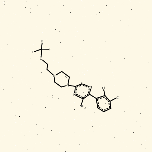 Nc1nc(N2CCN(CCOC(F)(F)F)CC2)nnc1-c1cccc(Cl)c1Cl